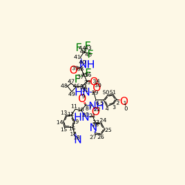 COc1ccc(C(NC(=O)C(Cc2cccc(C#N)c2)NC(=O)c2ccccn2)C(=O)N[C@H](C(=O)C(F)(F)C(=O)NCC(F)(F)F)C2CCC2)cc1